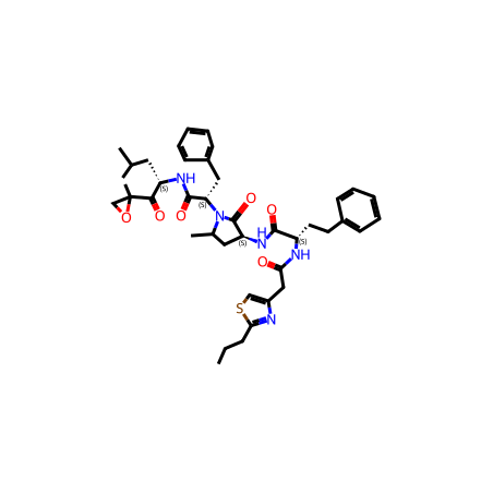 CCCc1nc(CC(=O)N[C@@H](CCc2ccccc2)C(=O)N[C@H]2CC(C)N([C@@H](Cc3ccccc3)C(=O)N[C@@H](CC(C)C)C(=O)C3(C)CO3)C2=O)cs1